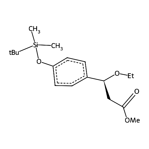 CCO[C@@H](CC(=O)OC)c1ccc(O[Si](C)(C)C(C)(C)C)cc1